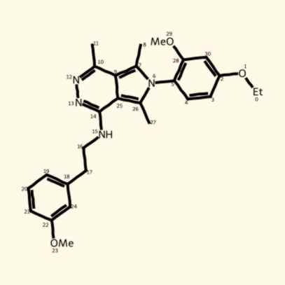 CCOc1ccc(-n2c(C)c3c(C)nnc(NCCc4cccc(OC)c4)c3c2C)c(OC)c1